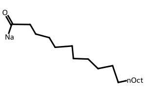 CCCCCCCCCCCCCCCCCC[C](=O)[Na]